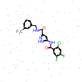 O=C(NCc1cccc(C(F)(F)F)c1)c1cc(NC(=O)c2cc(F)c(F)cc2Cl)[nH]n1